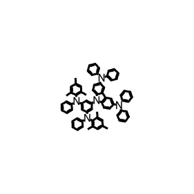 Cc1cc(C)c(N(c2ccccc2)c2cc(N(c3ccccc3)c3c(C)cc(C)cc3C)cc(-n3c4ccc(N(c5ccccc5)c5ccccc5)cc4c4cc(N(c5ccccc5)c5ccccc5)ccc43)c2)c(C)c1